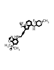 CN1CC[C@@H](Nc2cccn3c(SC(F)(F)F)c(C#CCNc4ccc(P(C)(C)=O)c5ocnc45)cc23)[C@@H](F)C1